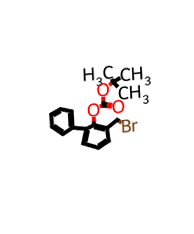 CC(C)(C)OC(=O)Oc1c(CBr)cccc1-c1ccccc1